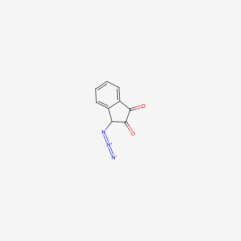 [N-]=[N+]=NC1C(=O)C(=O)c2ccccc21